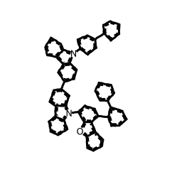 c1ccc(-c2ccc(-n3c4ccccc4c4cc(-c5ccc6c7ccccc7n(-c7ccc(-c8ccccc8-c8ccccc8)c8c7oc7ccccc78)c6c5)ccc43)cc2)cc1